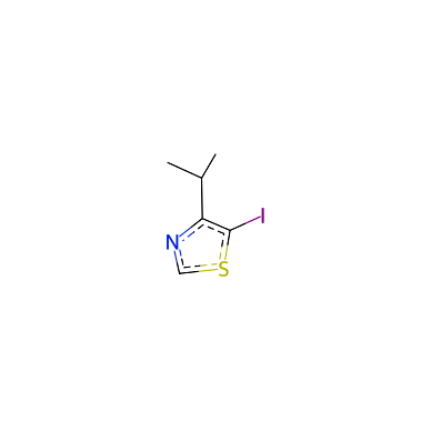 CC(C)c1ncsc1I